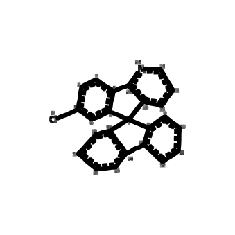 Clc1ccc2c(c1)C1(c3ccccc3-c3ccccc31)c1cccnc1-2